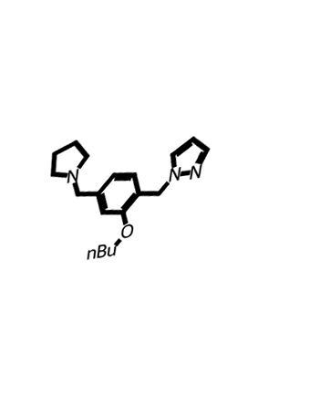 CCCCOc1cc(CN2CCCC2)ccc1Cn1cccn1